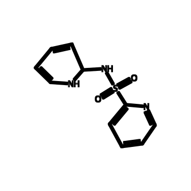 O=S(=O)(NC1C=CC=CN1)c1ccccn1